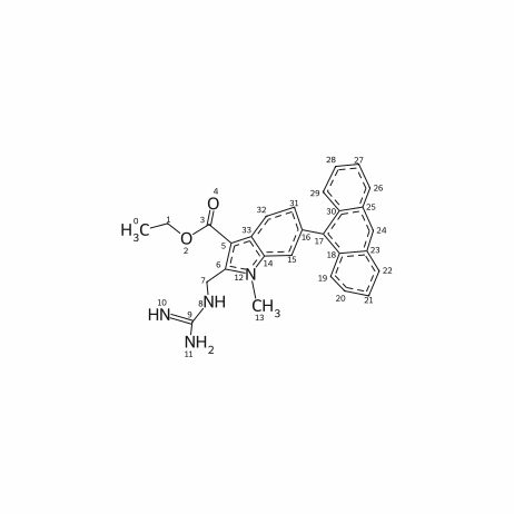 CCOC(=O)c1c(CNC(=N)N)n(C)c2cc(-c3c4ccccc4cc4ccccc34)ccc12